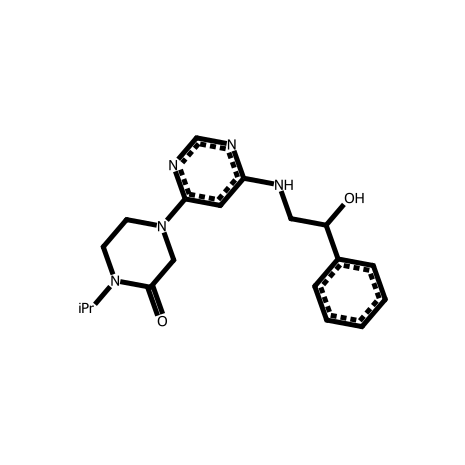 CC(C)N1CCN(c2cc(NCC(O)c3ccccc3)ncn2)CC1=O